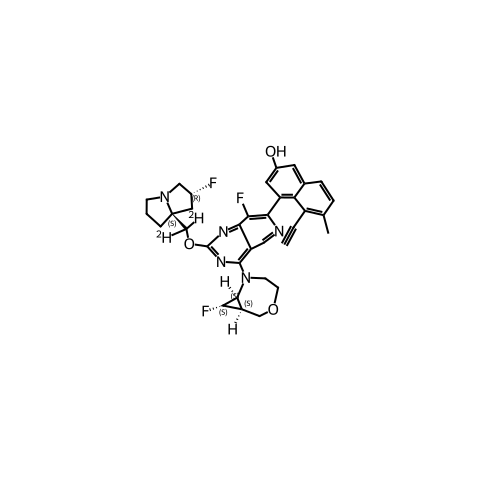 [2H]C([2H])(Oc1nc(N2CCOC[C@H]3[C@H](F)[C@H]32)c2cnc(-c3cc(O)cc4ccc(C)c(C#C)c34)c(F)c2n1)[C@@]12CCCN1C[C@H](F)C2